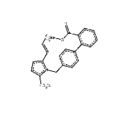 CC=Cc1ccc(C(=O)OCC)n1Cc1ccc(-c2ccccc2C(=O)OC(C)(C)C)cc1